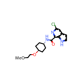 COCCO[C@H]1CC[C@H](NC(=O)c2nc(Cl)cc3cc[nH]c23)CC1